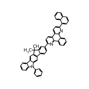 CC1(C)c2cc(-c3ccc4c5ccc(-c6cccc7ccccc67)nc5c5ccccc5c4n3)ccc2-c2cc3c(cc21)c1ccccc1n3-c1ccccc1